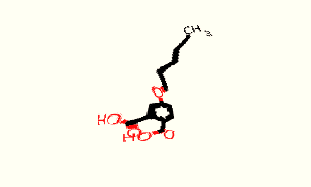 CCCCCCOc1ccc(C(=O)O)c(C(=O)O)c1